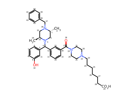 C[C@@H]1CN(C(c2cccc(O)c2)c2cccc(C(=O)N3CCN(CCCCCCC(=O)O)CC3)c2)[C@@H](C)CN1Cc1ccccc1